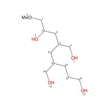 COCC(O)CC(CO)CC(CO)CCCO